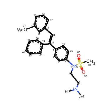 CCN(CC)CCN(c1ccc(C(=Cc2cccc(OC)c2)c2ccccc2)cc1)S(C)(=O)=O